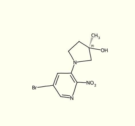 C[C@@]1(O)CCN(c2cc(Br)cnc2[N+](=O)[O-])C1